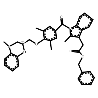 Cc1cc(C(=O)n2c(C)c(CC(=O)OCc3ccccc3)c3ccccc32)cc(C)c1OC[C@@H]1CN(C)c2ccccc2O1